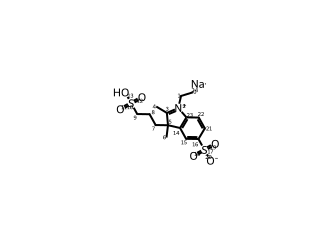 CC[N+]1=C(C)C(C)(CCCS(=O)(=O)O)c2cc(S(=O)(=O)[O-])ccc21.[Na]